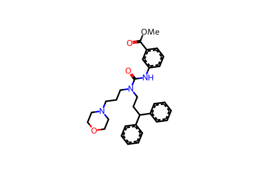 COC(=O)c1cccc(NC(=O)N(CCCN2CCOCC2)CCC(c2ccccc2)c2ccccc2)c1